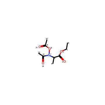 CCOC(=O)C(C)N(OC(C)=O)C(C)=O